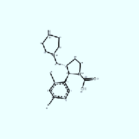 Cc1cc(F)ccc1[C@H]1[C@H](CN2CCNCC2)CCN1C(=O)O